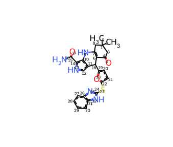 CC1(C)CC(=O)C2=C(C1)Nc1c(c[nH]c1C(N)=O)C2c1ccc(Sc2nc3ccccc3[nH]2)o1